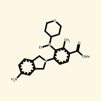 CCN(c1c(N2Cc3ccc(N)cc3C2)ccc(C(=O)OC)c1C)C1CCOCC1